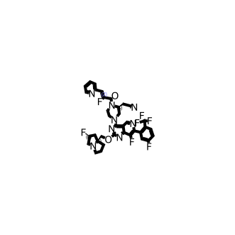 N#CC[C@H]1CN(c2nc(OC[C@@]34CCCN3C[C@H](F)C4)nc3c(F)c(-c4cc(F)ccc4C(F)(F)F)ncc23)CCN1C(=O)/C(F)=C/c1ccccn1